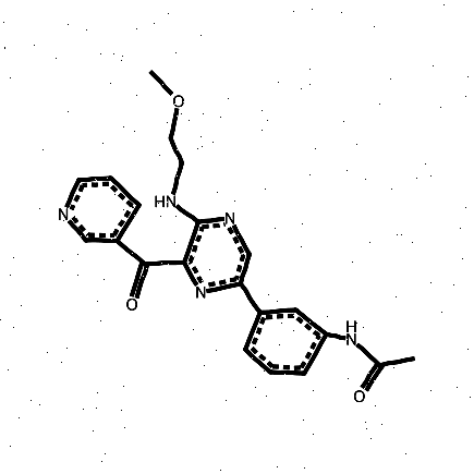 COCCNc1ncc(-c2cccc(NC(C)=O)c2)nc1C(=O)c1cccnc1